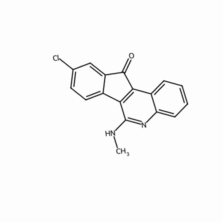 CNc1nc2ccccc2c2c1-c1ccc(Cl)cc1C2=O